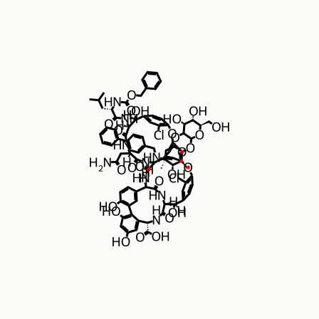 CC(C)C[C@H](NC(=O)OCc1ccccc1)C(=O)N[C@H]1C(=O)N[C@@H](CC(N)=O)C(=O)N[C@H]2C(=O)N[C@H]3C(=O)N[C@H](C(=O)N[C@H](C(=O)O)c4cc(O)cc(O)c4-c4cc3ccc4O)[C@H](O)c3ccc(c(Cl)c3)Oc3cc2cc(c3OC2O[C@H](CO)[C@@H](O)[C@H](O)C2O[C@H]2C[C@](C)(NCc3ccc(-c4ccccc4)cc3)[C@H](O)[C@H](C)O2)Oc2ccc(cc2Cl)[C@H]1O